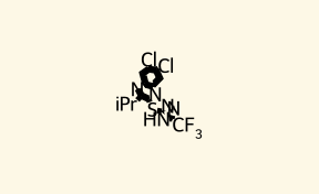 CC(C)c1nc2cc(Cl)c(Cl)cc2nc1Sc1nnc(C(F)(F)F)[nH]1